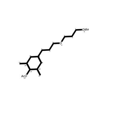 COCCCOCCCC1CC(C)C(OC(C)=O)C(C)C1